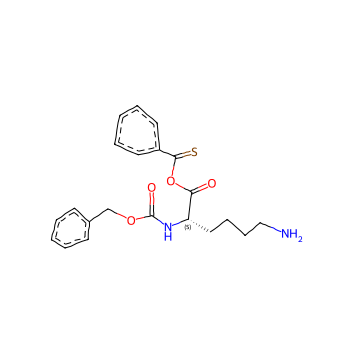 NCCCC[C@H](NC(=O)OCc1ccccc1)C(=O)OC(=S)c1ccccc1